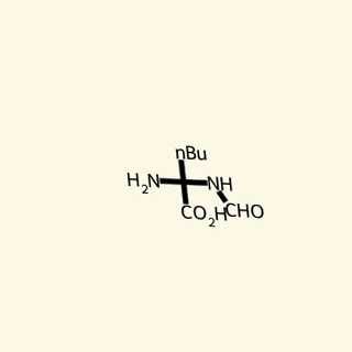 CCCCC(N)(NC=O)C(=O)O